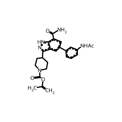 C=C(C)OC(=O)N1CCC(c2n[nH]c3c(C(N)=O)cc(-c4cccc(NC(C)=O)c4)cc23)CC1